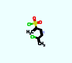 C=C(Cl)/C=C\C(=C)S(=O)(=O)Cl